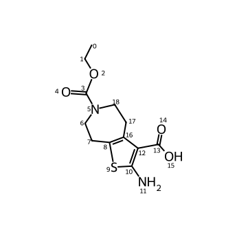 CCOC(=O)N1CCc2sc(N)c(C(=O)O)c2CC1